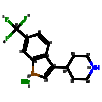 Br.FC(F)(F)c1ccc2c(C3CCNCC3)csc2c1